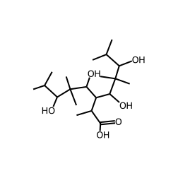 CC(C)C(O)C(C)(C)C(O)C(C(C)C(=O)O)C(O)C(C)(C)C(O)C(C)C